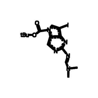 CN(C)C=Nc1ncc2c(n1)c(I)cn2C(=O)OC(C)(C)C